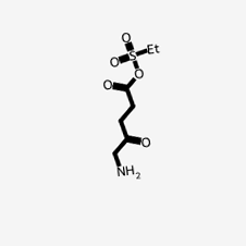 CCS(=O)(=O)OC(=O)CCC(=O)CN